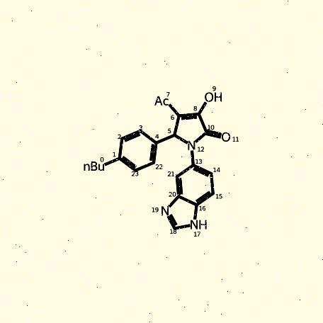 CCCCc1ccc(C2C(C(C)=O)=C(O)C(=O)N2c2ccc3[nH]cnc3c2)cc1